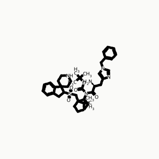 CC(C)(C)OC(=O)N(C(=O)[C@@H](N)Cc1cn(Cc2ccccc2)cn1)C1CC2CCC1(CS(=O)(=O)C1Cc3ccccc3C13CCNCC3)C2(C)C